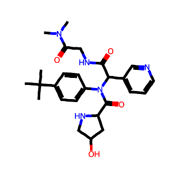 CN(C)C(=O)CNC(=O)C(c1cccnc1)N(C(=O)C1CC(O)CN1)c1ccc(C(C)(C)C)cc1